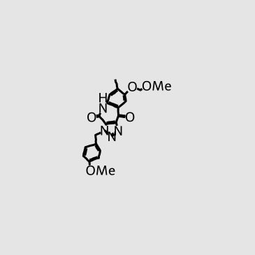 COCOc1cc2c(=O)c3nnn(Cc4ccc(OC)cc4)c3c(=O)[nH]c2cc1C